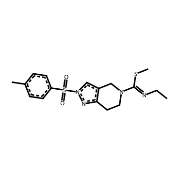 CCN=C(SC)N1CCc2nn(S(=O)(=O)c3ccc(C)cc3)cc2C1